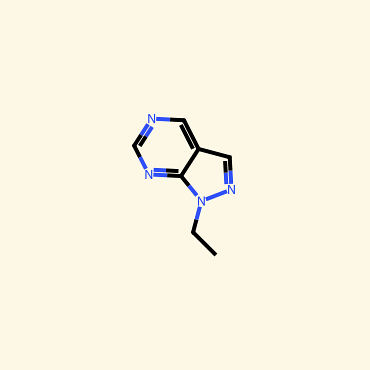 CCn1ncc2cncnc21